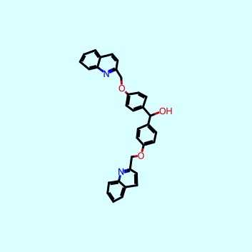 OC(c1ccc(OCc2ccc3ccccc3n2)cc1)c1ccc(OCc2ccc3ccccc3n2)cc1